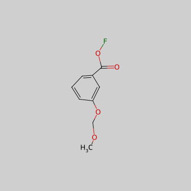 COCOc1cccc(C(=O)OF)c1